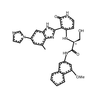 COc1cc(NC(=O)[C@H](CO)Nc2cc[nH]c(=O)c2-c2nc3c(C)cc(-n4ccnc4)cc3[nH]2)cc2ccccc12